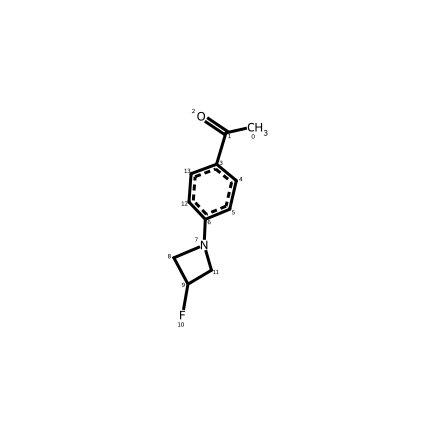 CC(=O)c1ccc(N2CC(F)C2)cc1